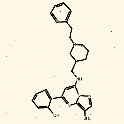 Bc1cnn2c(NCC3CCCN(CCc4ccccc4)C3)cc(-c3ccccc3O)nc12